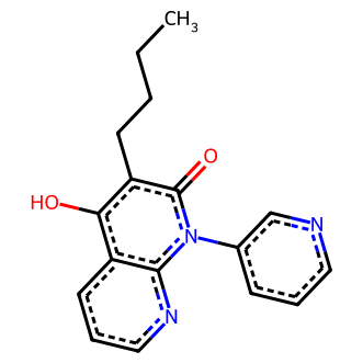 CCCCc1c(O)c2cccnc2n(-c2cccnc2)c1=O